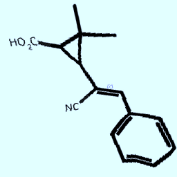 CC1(C)C(C(=O)O)C1/C(C#N)=C/c1ccccc1